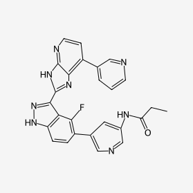 CCC(=O)Nc1cncc(-c2ccc3[nH]nc(-c4nc5c(-c6cccnc6)ccnc5[nH]4)c3c2F)c1